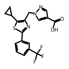 O=C(O)c1cnn(Cc2nc(-c3cccc(C(F)(F)F)c3)sc2C2CC2)c1